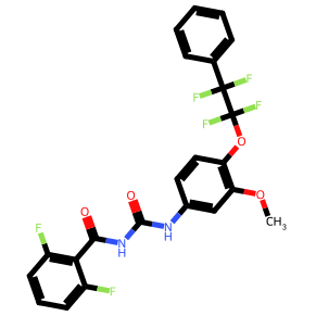 COc1cc(NC(=O)NC(=O)c2c(F)cccc2F)ccc1OC(F)(F)C(F)(F)c1ccccc1